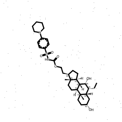 CC[C@H]1[C@@H](O)[C@@H]2[C@H](CC[C@]3(C)[C@@H](CCOC(=O)NS(=O)(=O)c4ccc(N5CCCCC5)cc4)CC[C@@H]23)[C@@]2(C)CC[C@@H](O)C[C@@H]12